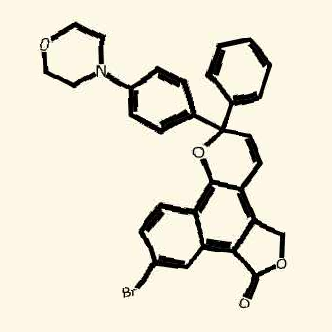 O=C1OCc2c3c(c4ccc(Br)cc4c21)OC(c1ccccc1)(c1ccc(N2CCOCC2)cc1)C=C3